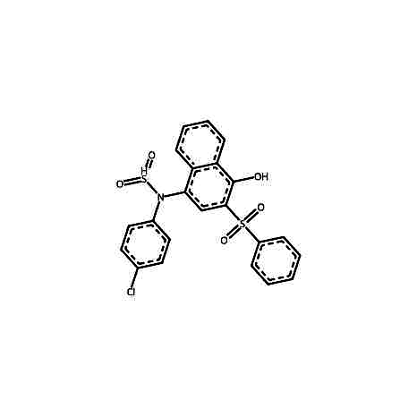 O=[SH](=O)N(c1ccc(Cl)cc1)c1cc(S(=O)(=O)c2ccccc2)c(O)c2ccccc12